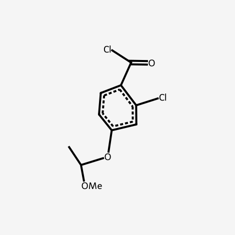 COC(C)Oc1ccc(C(=O)Cl)c(Cl)c1